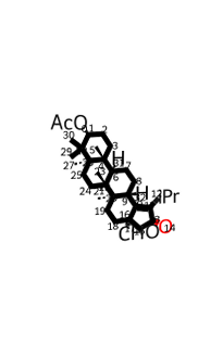 CC(=O)O[C@H]1CC[C@]2(C)[C@H]3CC[C@@H]4C5=C(C(C)C)C(=O)CC5(C=O)CC[C@@]4(C)[C@]3(C)CC[C@@]2(C)C1(C)C